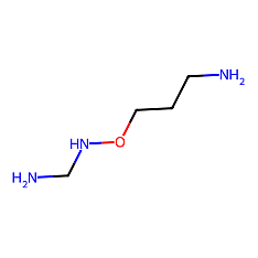 NCCCONCN